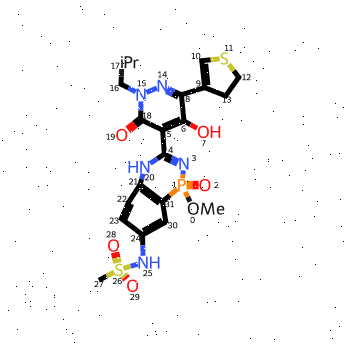 COP1(=O)N=C(c2c(O)c(C3=CSCC3)nn(CC(C)C)c2=O)Nc2ccc(NS(C)(=O)=O)cc21